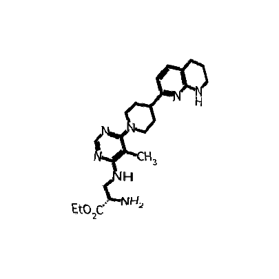 CCOC(=O)[C@@H](N)CNc1ncnc(N2CCC(c3ccc4c(n3)NCCC4)CC2)c1C